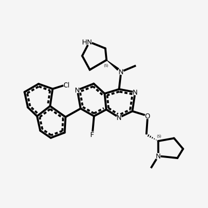 CN1CCC[C@H]1COc1nc(N(C)[C@H]2CCNC2)c2cnc(-c3cccc4cccc(Cl)c34)c(F)c2n1